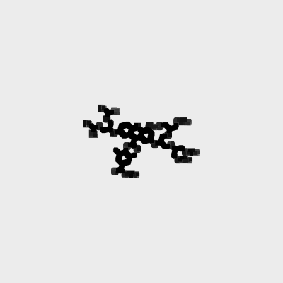 CCC(CC)OCC(COC(CC)CC)Oc1ccc2nc3ccc(OC(COC(COC)COC)COC(COC)COC)cc3c(C(=O)Oc3c(C)cc(C(=O)OC)cc3C)c2c1